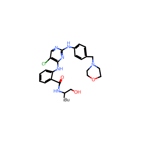 CCC(C)C(CO)NC(=O)c1ccccc1Nc1nc(Nc2ccc(CN3CCOCC3)cc2)ncc1Cl